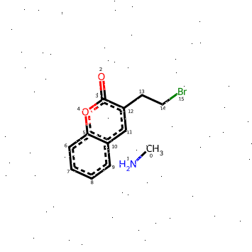 CN.O=c1oc2ccccc2cc1CCBr